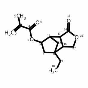 C=C(C)C(=O)OC1CC2(CC)CC1C1C(=O)OCC12